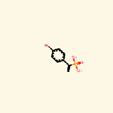 C=C(c1ccc(Br)cc1)P(=O)(O)O